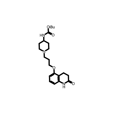 CC(C)COC(=O)NC1CCN(CCCOc2cccc3c2CCC(=O)N3)CC1